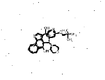 CC(C)(C)COc1cc(C(c2c(O)c3ccccc3c3occ(C(=O)O)c23)N2CCOCC2)ccn1